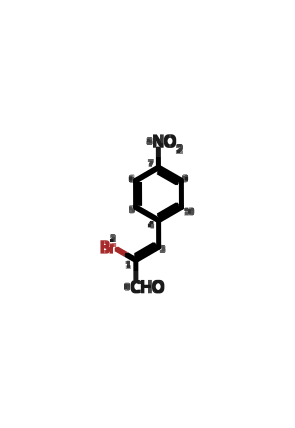 O=CC(Br)=Cc1ccc([N+](=O)[O-])cc1